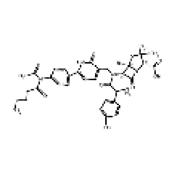 CC(=O)N(C(=O)CCCN)c1ccc(-c2ccc(CN(C(=O)C(N)c3ccc(O)cc3)[C@@H]3C(=O)N4[C@@H]3SC(C)(C)[C@@H]4C(=O)O)c(=O)[nH]2)cc1